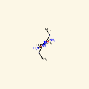 CCCCCCCC/C=C\CCCCCC(CCCN)CC(=O)NC(CC)N1CCN(C(CC)NC(=O)CC(CCCN)CCCCC/C=C\CCCCCCCC)CC1